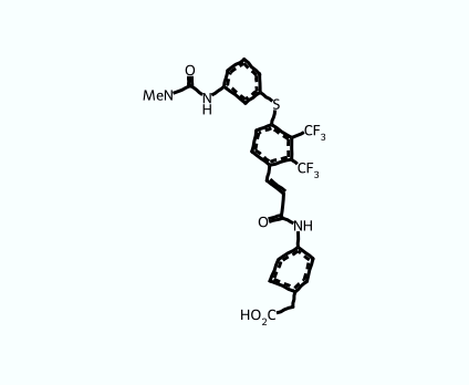 CNC(=O)Nc1cccc(Sc2ccc(/C=C/C(=O)Nc3ccc(CC(=O)O)cc3)c(C(F)(F)F)c2C(F)(F)F)c1